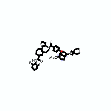 COC1=C/CC/C(N2CC3(CCOCC3)C2)=C(C(=O)Nc2ccc(C(=O)N3CCC4=C(CCCC(C(=O)Nc5c(F)cccc5F)=C4)c4sccc43)cc2)/C=C\1